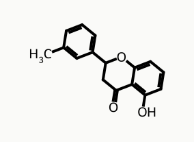 Cc1cccc(C2CC(=O)c3c(O)cccc3O2)c1